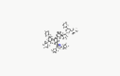 c1ccc(-c2cc(-c3ccccc3)cc(-c3cccc(-c4cccc(-c5cc(-c6cc(-c7ccccc7)cc(-c7ccccc7)c6)cc(-c6cc(-c7ccccc7)cc(-c7ccccc7)n6)c5)c4)c3)c2)cc1